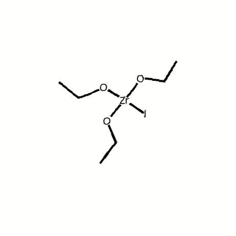 CC[O][Zr]([I])([O]CC)[O]CC